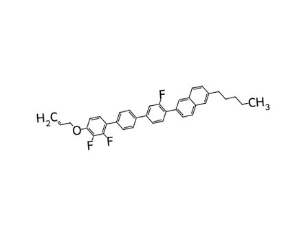 C=CCOc1ccc(-c2ccc(-c3ccc(-c4ccc5cc(CCCCC)ccc5c4)c(F)c3)cc2)c(F)c1F